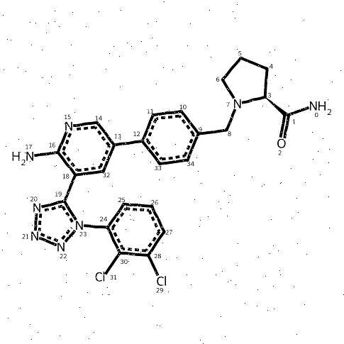 NC(=O)[C@@H]1CCCN1Cc1ccc(-c2cnc(N)c(-c3nnnn3-c3cccc(Cl)c3Cl)c2)cc1